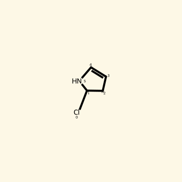 ClC1[C]C=CN1